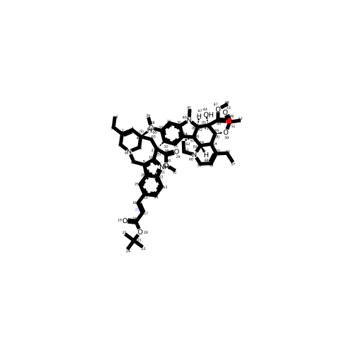 CCC1=C[C@H]2CN(C1)Cc1c([nH]c3ccc(/C=C/C(=O)OC(C)(C)C)cc13)[C@@](C(=O)OC)(c1cc3c(cc1OC)N(C)[C@H]1[C@@](O)(C(=O)OC)[C@H](OC(C)=O)C4C(CC)=CCN5CC[C@]31[C@H]45)C2